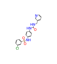 O=C(NCc1cccnc1)Nc1ccc(NS(=O)(=O)c2cccc(Cl)c2)cc1